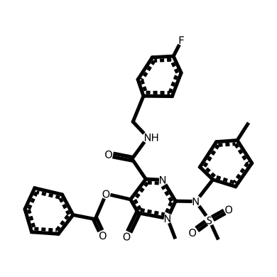 Cc1ccc(N(c2nc(C(=O)NCc3ccc(F)cc3)c(OC(=O)c3ccccc3)c(=O)n2C)S(C)(=O)=O)cc1